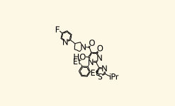 CCc1cccc(CC)c1-n1c(-c2csc(C(C)C)n2)nc(=O)c(C(=O)N2CCC(c3ccc(F)cn3)C2)c1O